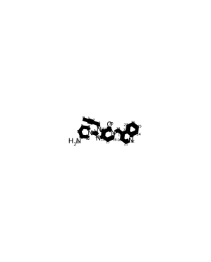 CC#CCn1c(N2CCCC(N)C2)nc2ccn(Cc3ccnc4ccccc34)c(=O)c21